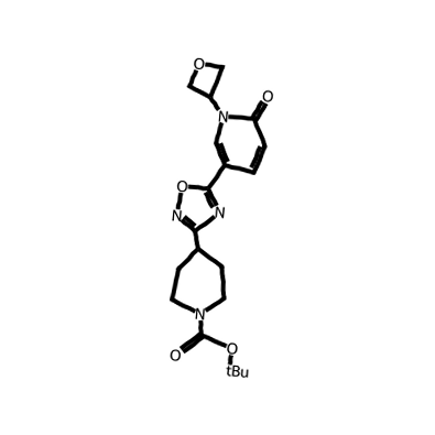 CC(C)(C)OC(=O)N1CCC(c2noc(-c3ccc(=O)n(C4COC4)c3)n2)CC1